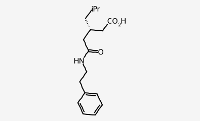 CC(C)C[C@H](CC(=O)O)CC(=O)NCCc1ccccc1